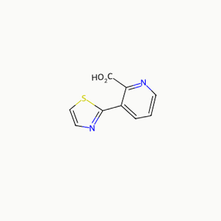 O=C(O)c1ncccc1-c1nccs1